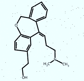 CN(C)CCC=C1c2ccccc2COc2ccc(CCO)cc21